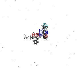 CC(=O)N[C@@H](Cc1ccccc1)[C@H](O)CN[C@H]1CC2(CCC2)Oc2ncc(CC(C)(C)C(F)F)cc21